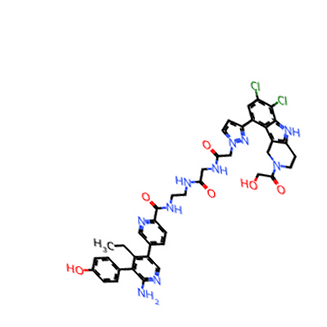 CCc1c(-c2ccc(C(=O)NCCNC(=O)CNC(=O)Cn3ccc(-c4cc(Cl)c(Cl)c5[nH]c6c(c45)CN(C(=O)CO)CC6)n3)nc2)cnc(N)c1-c1ccc(O)cc1